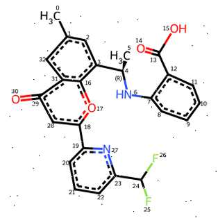 Cc1cc([C@@H](C)Nc2ccccc2C(=O)O)c2oc(-c3cccc(C(F)F)n3)cc(=O)c2c1